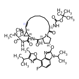 Cc1oc(-c2c(F)ccc3c2nc(O[C@@H]2C[C@H]4C(=O)N[C@]5(C(=O)NS(=O)(=O)N(C)C)C[C@H]5/C=C\CCCCC[C@H](NC(=O)OC(C)(C)C)C(=O)N4C2)n3C(C)C)nc1C(C)C